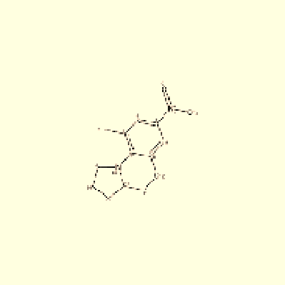 O=[N+]([O-])c1cc(F)c2c(c1)OCC1CCCN21